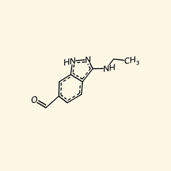 CCNc1n[nH]c2cc(C=O)ccc12